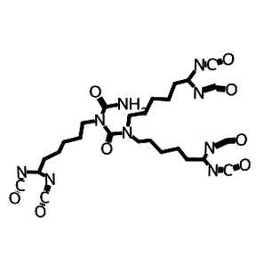 NC(=O)N(CCCCCC(N=C=O)N=C=O)C(=O)N(CCCCCC(N=C=O)N=C=O)CCCCCC(N=C=O)N=C=O